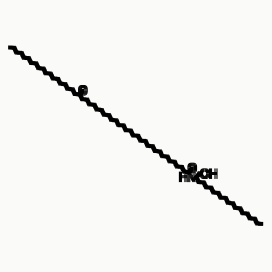 CCCCCCCCCCCCCCCCCCCC(=O)CCCCCCCCCCCCCCCCCCCCCCCCCCCCCC(=O)NC(CO)CCCCCCCCCCCCCCCCCC